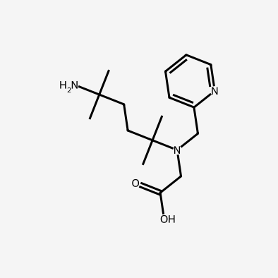 CC(C)(N)CCC(C)(C)N(CC(=O)O)Cc1ccccn1